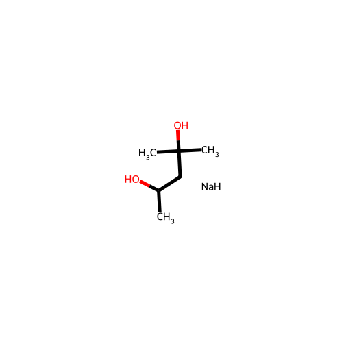 CC(O)CC(C)(C)O.[NaH]